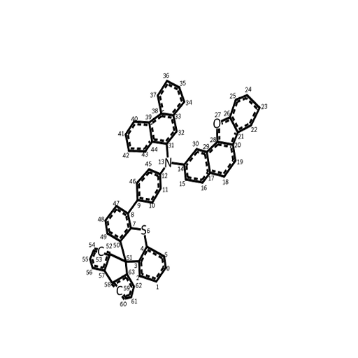 c1ccc2c(c1)Sc1c(-c3ccc(N(c4ccc5ccc6c7ccccc7oc6c5c4)c4cc5ccccc5c5ccccc45)cc3)cccc1C21c2ccccc2-c2ccccc21